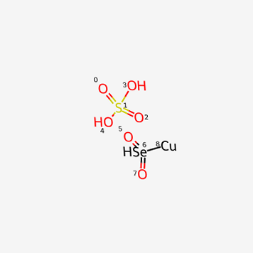 O=S(=O)(O)O.O=[SeH](=O)[Cu]